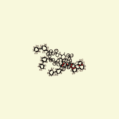 O=C(OCCC(COC(=O)OOC(=O)c1cccc(-c2ccccc2)c1)C(COC(=O)OOC(=O)c1cccc(-c2ccccc2)c1)C(CCOC(=O)OOC(=O)c1cccc(-c2ccccc2)c1)COC(=O)OOC(=O)c1cccc(-c2ccccc2)c1)OOC(=O)c1cccc(-c2ccccc2)c1